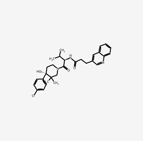 CC(C)[C@@H](NC(=O)CCc1cnc2ccccc2c1)C(=O)N1CC[C@](O)(c2ccc(Cl)cc2)C(C)(C)C1